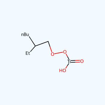 CCCCC(CC)CO[O][Ti](=[O])[OH]